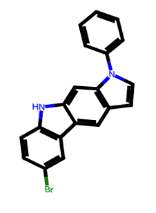 Brc1ccc2[nH]c3cc4c(ccn4-c4ccccc4)cc3c2c1